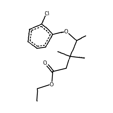 CCOC(=O)CC(C)(C)C(C)Oc1ccccc1Cl